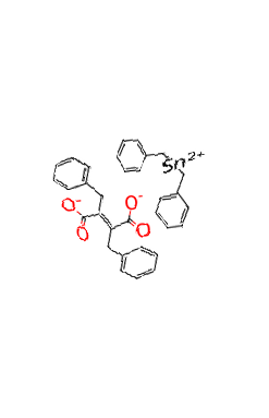 O=C([O-])C(Cc1ccccc1)=C(Cc1ccccc1)C(=O)[O-].c1ccc([CH2][Sn+2][CH2]c2ccccc2)cc1